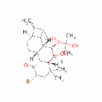 C=C1C2C(=O)[C@]34[C@H]2[C@H]1CC[C@H]3[C@@]12CO[C@]4(OC(C)(C)O)[C@@H](O)[C@@H]1C(C)(C)CC(Br)C2=O